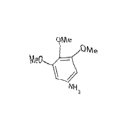 COc1cccc(OC)c1OC.N